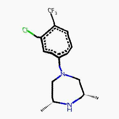 C[C@@H]1CN(c2ccc(C(F)(F)F)c(Cl)c2)C[C@H](C)N1